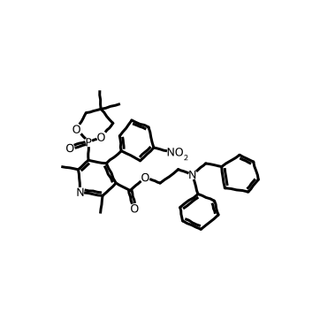 Cc1nc(C)c(P2(=O)OCC(C)(C)CO2)c(-c2cccc([N+](=O)[O-])c2)c1C(=O)OCCN(Cc1ccccc1)c1ccccc1